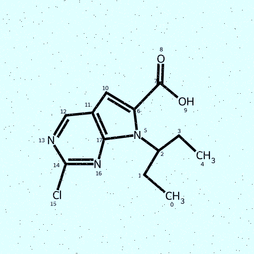 CCC(CC)n1c(C(=O)O)cc2cnc(Cl)nc21